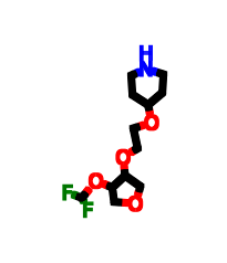 FC(F)OC1COCC1OCCOC1CCNCC1